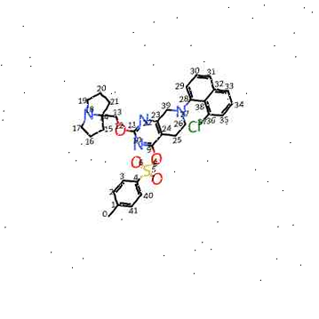 Cc1ccc(S(=O)(=O)Oc2nc(OCC34CCCN3CCC4)nc3c2CCN(c2cccc4cccc(Cl)c24)C3)cc1